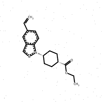 C=Cc1ccc2c(cnn2[C@H]2CC[C@@H](C(=O)OCC)CC2)c1